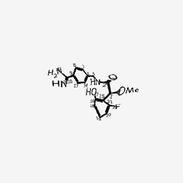 CO[C@H](C(=O)NCc1ccc(C(=N)N)cc1)c1c(O)cccc1F